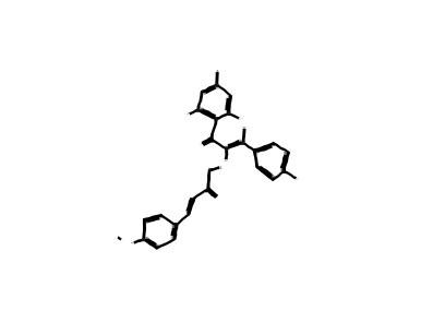 CCOc1ccc(/C=C/C(=O)COc2c(-c3ccc(O)cc3)oc3cc(O)cc(O)c3c2=O)cc1